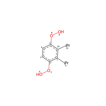 CC(C)c1c(OO)ccc(OO)c1C(C)C